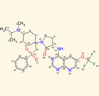 CC(C)N(C)C1CCC(CS(=O)(=O)c2ccccc2)(N2CC[C@H](Nc3ncnc4ncc(OC(F)(F)F)cc34)C2=O)CC1